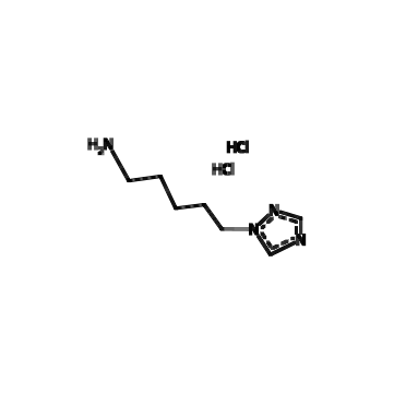 Cl.Cl.NCCCCCn1cncn1